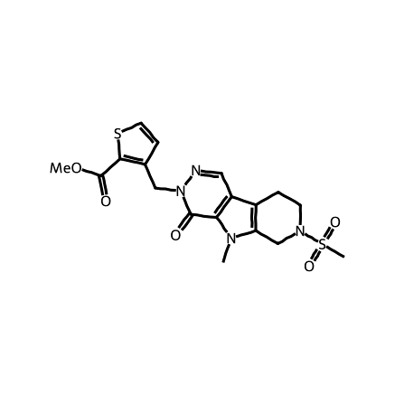 COC(=O)c1sccc1Cn1ncc2c3c(n(C)c2c1=O)CN(S(C)(=O)=O)CC3